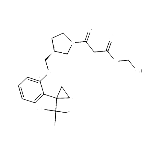 CCOC(=O)CC(=O)N1CC[C@H](COc2ccccc2C2(C(F)(F)F)CC2)C1